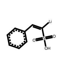 [Li][C](=Cc1ccccc1)S(=O)(=O)O